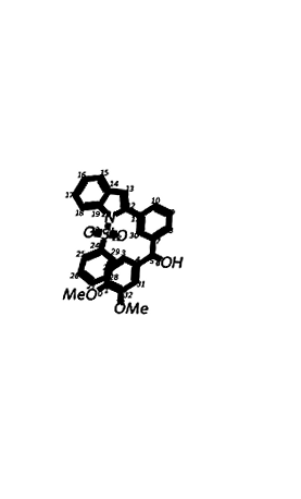 COc1ccc(C(O)c2cccc(-c3cc4ccccc4n3S(=O)(=O)c3ccccc3)c2)cc1OC